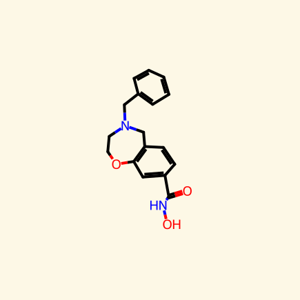 O=C(NO)c1ccc2c(c1)OCCN(Cc1ccccc1)C2